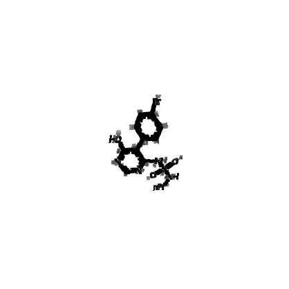 CCCNS(=O)(=O)Nc1ncnc(O)c1-c1ccc(Br)cc1